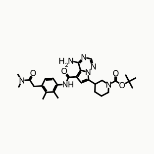 Cc1c(CC(=O)N(C)C)ccc(NC(=O)c2cc(C3CCCN(C(=O)OC(C)(C)C)C3)n3ncnc(N)c23)c1C